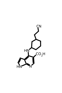 N#CCCC1CCCC(Nc2c(C(=O)O)cnc3[nH]ccc23)C1